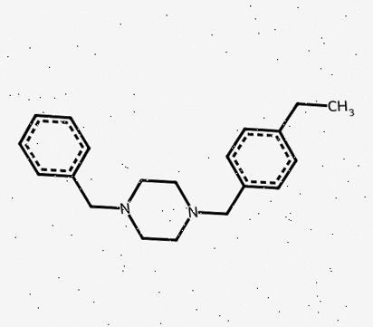 CCc1ccc(CN2CCN(Cc3ccccc3)CC2)cc1